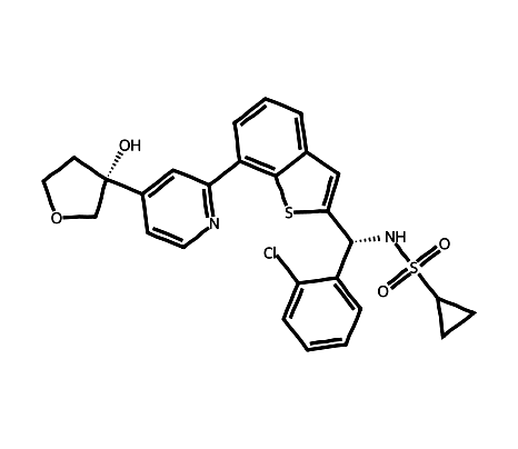 O=S(=O)(N[C@@H](c1cc2cccc(-c3cc([C@]4(O)CCOC4)ccn3)c2s1)c1ccccc1Cl)C1CC1